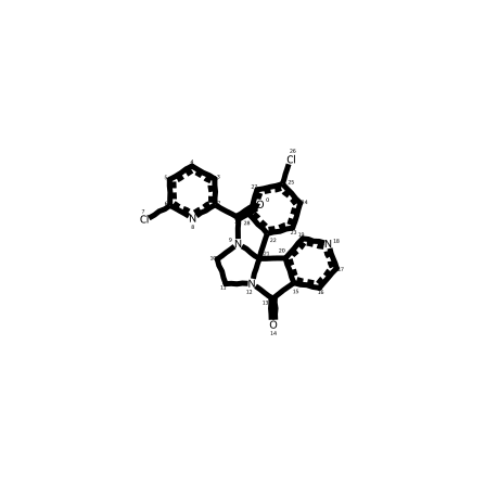 O=C(c1cccc(Cl)n1)N1CCN2C(=O)c3ccncc3C12c1ccc(Cl)cc1